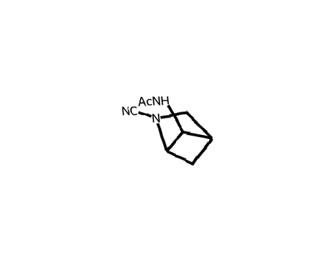 CC(=O)NC1C2CC1N(C#N)C2